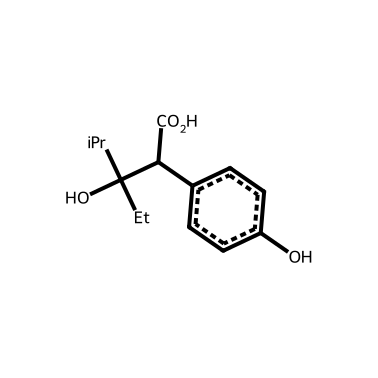 CCC(O)(C(C)C)C(C(=O)O)c1ccc(O)cc1